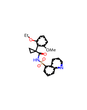 CCOc1cccc(OC)c1C1(C(=O)NS(=O)(=O)c2cccc3ncccc23)CC1